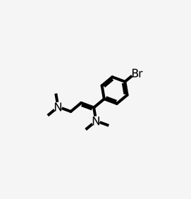 CN(C)C/C=C(/c1ccc(Br)cc1)N(C)C